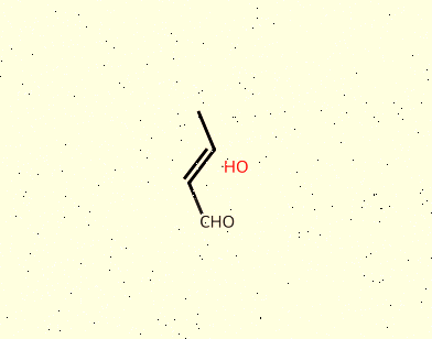 CC=CC=O.[OH]